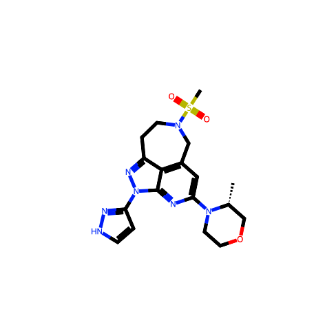 C[C@@H]1COCCN1c1cc2c3c(nn(-c4cc[nH]n4)c3n1)CCN(S(C)(=O)=O)C2